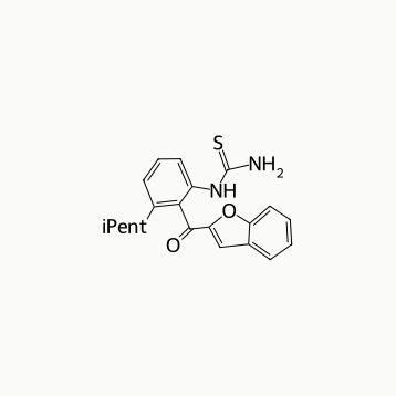 CCCC(C)c1cccc(NC(N)=S)c1C(=O)c1cc2ccccc2o1